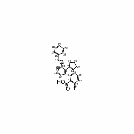 O=C(O)c1cc(C2=C(c3cccnc3OCc3ccccc3)CCC2)ccc1F